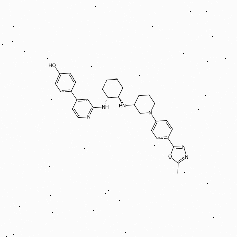 Cc1nnc(-c2ccc(N3CCCC(N[C@@H]4CCCC[C@H]4Nc4cc(-c5ccc(O)cc5)ccn4)C3)cc2)o1